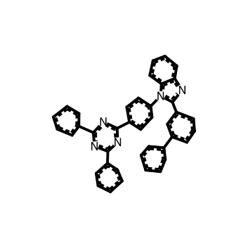 c1ccc(-c2cccc(-c3nc4ccccc4n3-c3ccc(-c4nc(-c5ccccc5)nc(-c5ccccc5)n4)cc3)c2)cc1